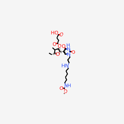 CC[C@H]1O[C@@H](c2cn(CCCNCCCCCCNC(=O)OC)c(=O)[nH]c2=O)[C@@H](OC(=O)CCC(=O)O)C1C